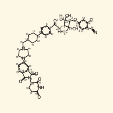 CC1(C)[C@H](NC(=O)c2ccc(C3CCC(CN4CCN(c5ccc6c(c5)C(=O)N(C5CCC(=O)NC5=O)C6=O)CC4)CC3)cc2)C(C)(C)[C@H]1Oc1ccc(C#N)c(Cl)c1